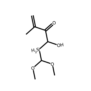 C=C(C)C(=O)C(O)[SiH2]C(OC)OC